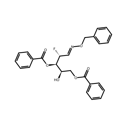 O=C(OC[C@@H](O)[C@@H](OC(=O)c1ccccc1)[C@H](F)C=NOCc1ccccc1)c1ccccc1